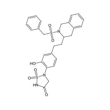 O=C1CN(c2ccc(CCC3Cc4ccccc4CN3S(=O)(=O)Cc3ccccc3)cc2O)S(=O)(=O)N1